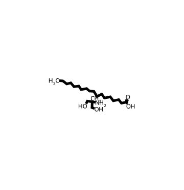 CC(N)(CO)CO.CCCCCCCCCCCCCCCCCC(=O)O